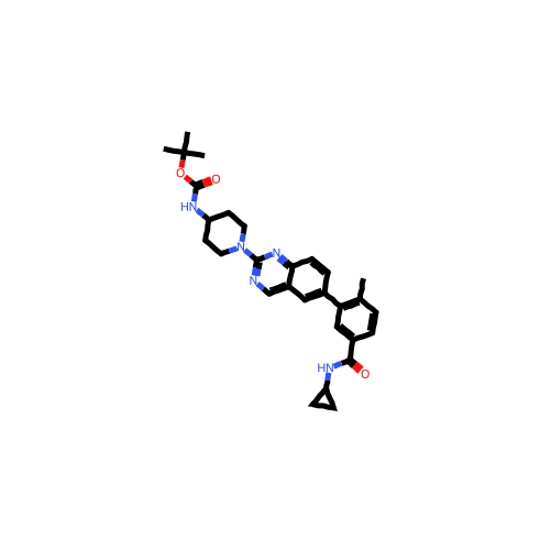 Cc1ccc(C(=O)NC2CC2)cc1-c1ccc2nc(N3CCC(NC(=O)OC(C)(C)C)CC3)ncc2c1